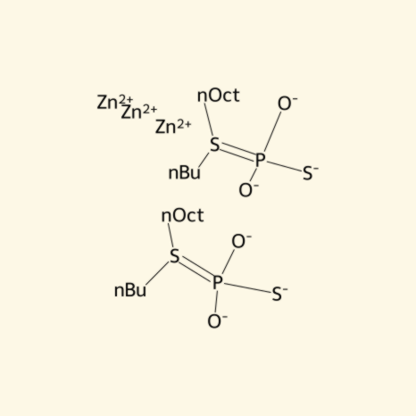 CCCCCCCCS(CCCC)=P([O-])([O-])[S-].CCCCCCCCS(CCCC)=P([O-])([O-])[S-].[Zn+2].[Zn+2].[Zn+2]